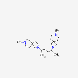 CC(C)N1CCC2(CC1)CCN(C(C)CCC(C)N1CC3(CCN(C(C)C)CC3)C1)C2